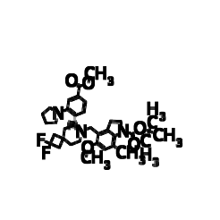 COC(=O)c1ccc([C@H]2CC3(CCN2Cc2c(OC)cc(C)c4c2ccn4C(=O)OC(C)(C)C)CC(F)(F)C3)c(N2CCCC2)c1